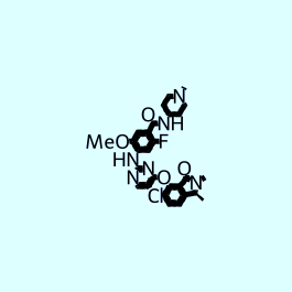 COc1cc(C(=O)NC2CCN(C)CC2)c(F)cc1Nc1ncc(Cl)c(Oc2cccc3c2C(=O)N(C)[C@H]3C)n1